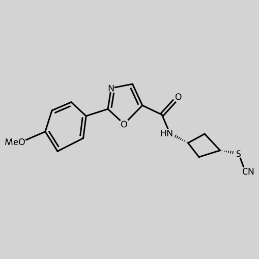 COc1ccc(-c2ncc(C(=O)N[C@H]3C[C@@H](SC#N)C3)o2)cc1